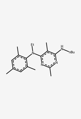 CCCCNc1nc(C)nc(N(CC)c2c(C)cc(C)cc2C)c1C